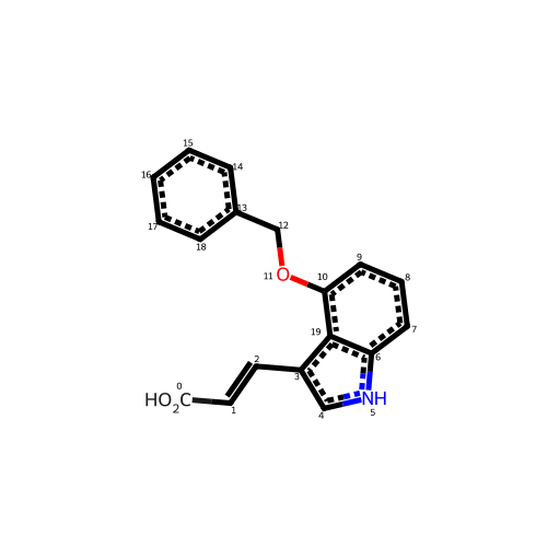 O=C(O)C=Cc1c[nH]c2cccc(OCc3ccccc3)c12